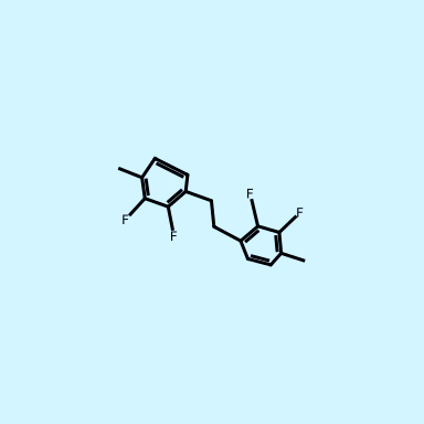 Cc1ccc(CCc2ccc(C)c(F)c2F)c(F)c1F